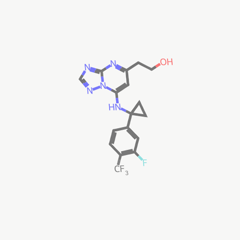 OCCc1cc(NC2(c3ccc(C(F)(F)F)c(F)c3)CC2)n2ncnc2n1